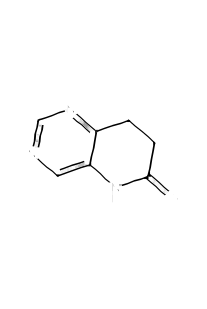 O=C1CCc2ncncc2N1